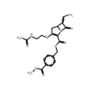 C/C=C1\C(=O)N2C(C(=O)OCc3ccc(C(=O)OC)cc3)=C(SCCNC(C)=O)CC12